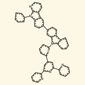 c1ccc(-n2c3ccc(-c4ccc5c6ccccc6n(-c6cccc(-c7cc(-c8ccccn8)nc(-c8ccccn8)c7)c6)c5c4)cc3c3cccnc32)cc1